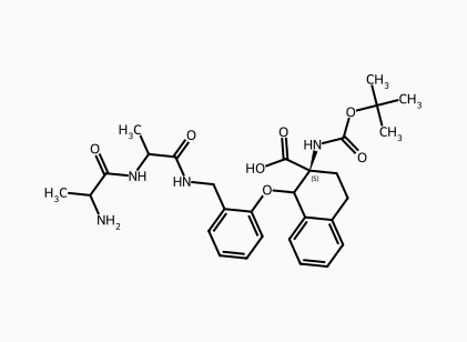 CC(N)C(=O)NC(C)C(=O)NCc1ccccc1OC1c2ccccc2CC[C@@]1(NC(=O)OC(C)(C)C)C(=O)O